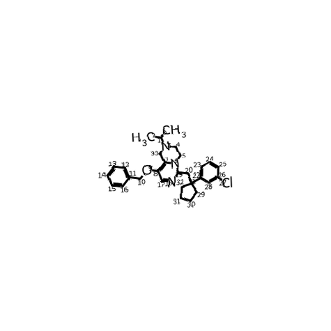 CC(C)N1CCN2C(=C(OCc3ccccc3)C=NC2CC2(c3cccc(Cl)c3)CCCC2)C1